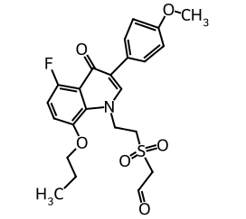 CCCOc1ccc(F)c2c(=O)c(-c3ccc(OC)cc3)cn(CCS(=O)(=O)CC=O)c12